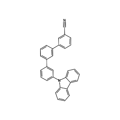 N#Cc1cccc(-c2cccc(-c3cccc(-n4c5ccccc5c5ccccc54)c3)c2)c1